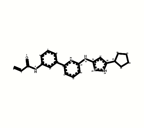 C=CC(=O)Nc1cccc(-c2cccc(Nc3cc(C4CCCC4)[nH]n3)n2)c1